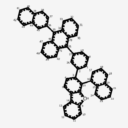 c1cc(-c2ccc3c(oc4ccccc43)c2-c2cccc3ccccc23)cc(-c2c3ccccc3c(-c3ccc4ccccc4c3)c3ccccc23)c1